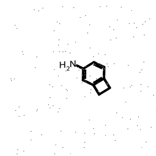 Nc1ccc2c(c1)CC2